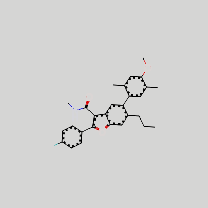 CCCc1cc2oc(-c3ccc(F)cc3)c(C(=O)NC)c2cc1-c1cc(C)c(OC)cc1C